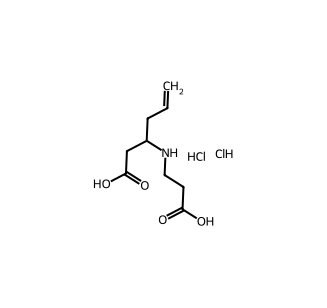 C=CCC(CC(=O)O)NCCC(=O)O.Cl.Cl